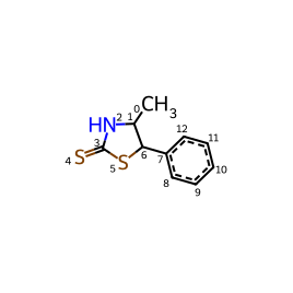 CC1NC(=S)SC1c1ccccc1